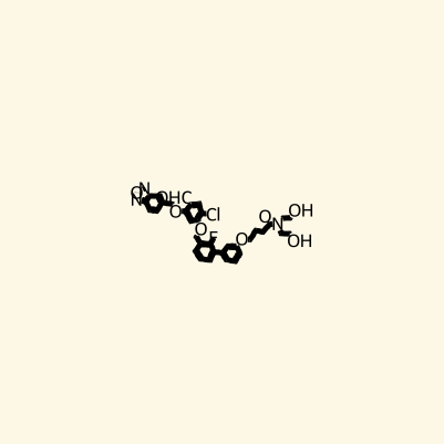 O=Cc1cc(Cl)c(OCc2cccc(-c3cccc(OCCCC(=O)N(CCO)CCO)c3)c2F)cc1OCc1ccc2nonc2c1